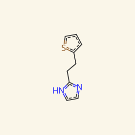 c1csc(CCc2ncc[nH]2)c1